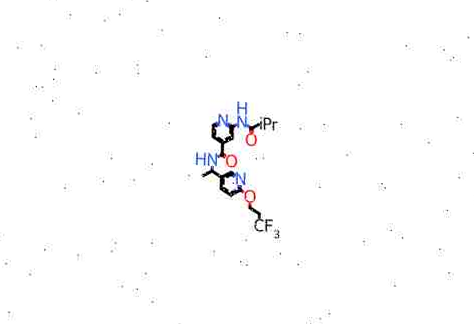 CC(C)C(=O)Nc1cc(C(=O)NC(C)c2ccc(OCCC(F)(F)F)nc2)ccn1